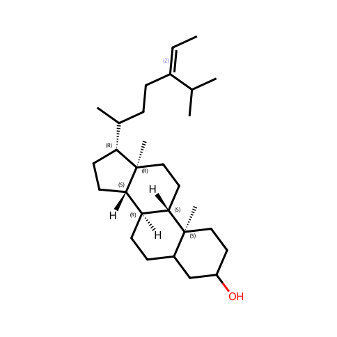 C/C=C(/CCC(C)[C@H]1CC[C@H]2[C@@H]3CCC4CC(O)CC[C@]4(C)[C@H]3CC[C@]12C)C(C)C